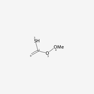 C=C(S)OOC